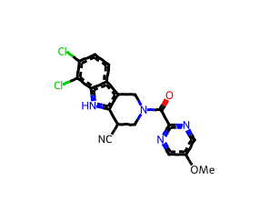 COc1cnc(C(=O)N2Cc3c([nH]c4c(Cl)c(Cl)ccc34)C(C#N)C2)nc1